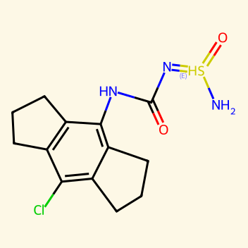 N/[SH](=O)=N\C(=O)Nc1c2c(c(Cl)c3c1CCC3)CCC2